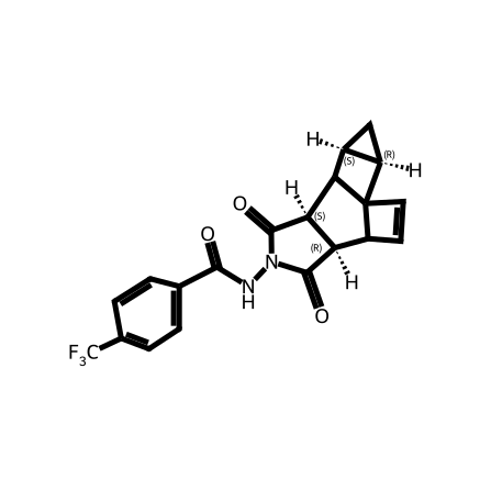 O=C(NN1C(=O)[C@@H]2C3C=CC34C([C@H]3C[C@H]34)[C@@H]2C1=O)c1ccc(C(F)(F)F)cc1